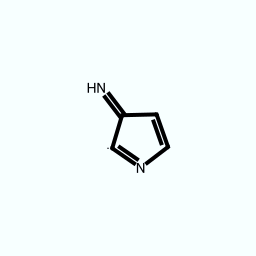 N=C1[C]=NC=C1